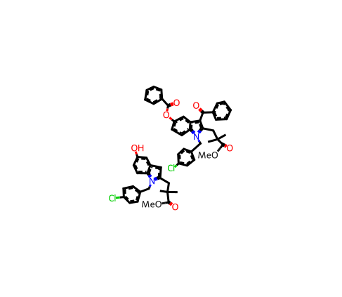 COC(=O)C(C)(C)Cc1c(C(=O)c2ccccc2)c2cc(OC(=O)c3ccccc3)ccc2n1Cc1ccc(Cl)cc1.COC(=O)C(C)(C)Cc1cc2cc(O)ccc2n1Cc1ccc(Cl)cc1